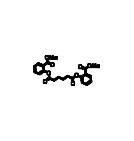 COC(=O)c1ccccc1OC(=O)CCCCC(=O)Oc1ccccc1C(=O)OC